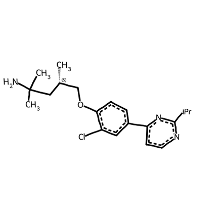 CC(C)c1nccc(-c2ccc(OC[C@@H](C)CC(C)(C)N)c(Cl)c2)n1